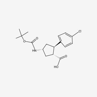 CC(C)(C)OC(=O)N[C@H]1C[C@@H](C(=O)O)[C@H](c2ccc(Cl)cc2)C1